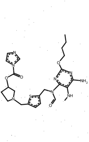 CCCCOc1nc(N)c(NC)c(N(C=O)Cc2ccc(CN3CCC(OC(=O)n4ccnc4)C3)s2)n1